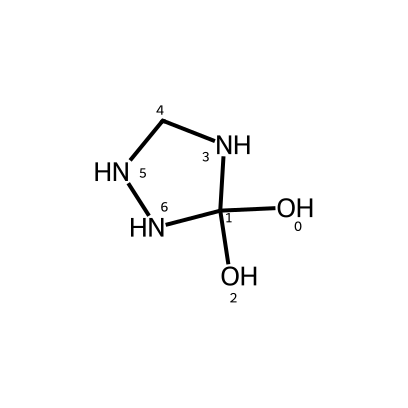 OC1(O)NCNN1